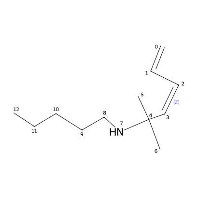 C=C/C=C\C(C)(C)NCCCCC